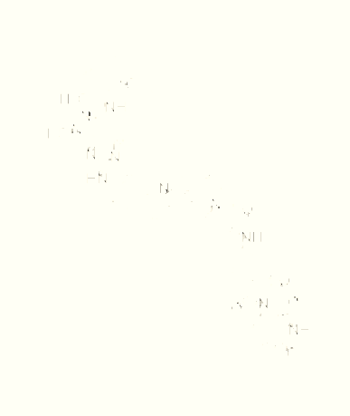 Cc1cccc(C)c1Nc1nn(C)c2nc(Nc3ccc4c(c3)CN(CC3CCN(C(=O)CNc5ccc6c(c5)C(=O)N(C5CCC(=O)NC5=O)C6=O)CC3)CC4)ncc12